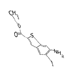 CCOC(=O)c1cc2cc(I)c(N)cc2s1